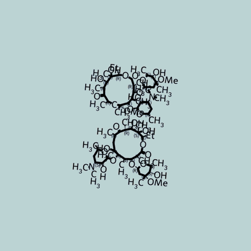 CC[C@H]1OC(=O)[C@H](C)[C@@H](O[C@H]2C[C@@](C)(OC)[C@@H](O)[C@H](C)O2)C(C)[C@@H](O[C@@H]2O[C@H](C)C[C@H](N(C)C)[C@H]2O)[C@](C)(OC)C[C@@H](C)C(=O)[C@H](C)[C@@H](O)[C@]1(C)O.CC[C@H]1OC(=O)[C@H](C)[C@@H](O[C@H]2C[C@@](C)(OC)[C@@H](O)[C@H](C)O2)[C@H](C)[C@@H](O[C@@H]2O[C@H](C)C[C@H](N(C)C)[C@H]2O)[C@](C)(O)C[C@@H](C)C(=O)[C@H](C)[C@@H](O)[C@]1(C)O